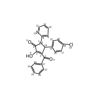 O=C(C1=C(O)C(=O)N(c2ccccn2)C1c1ccc(Cl)cc1)c1ccccc1